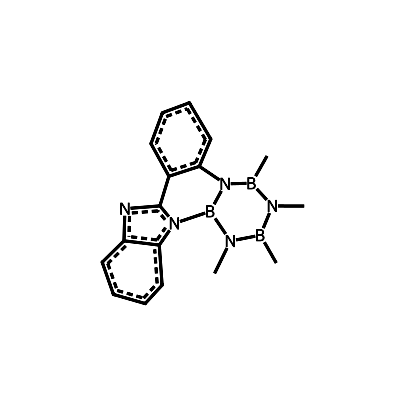 CB1N(C)B(C)N2B(N1C)n1c(nc3ccccc31)-c1ccccc12